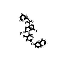 CC(C)CC(NC(=O)Oc1ccc2ncccc2c1)C(=O)N1CCC2C1C(=O)CN2S(=O)(=O)Cc1ccccn1